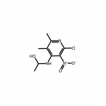 Cc1nc(Cl)c([N+](=O)[O-])c(NC(C)O)c1C